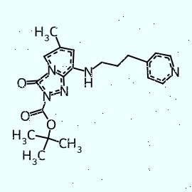 Cc1cc(NCCCc2ccncc2)c2nn(C(=O)OC(C)(C)C)c(=O)n2c1